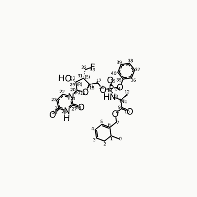 CC1CC=CC=C1COC(=O)[C@H](C)NP(=O)(OC[C@H]1O[C@@H](n2ccc(=O)[nH]c2=O)[C@H](O)[C@@H]1CF)Oc1ccccc1